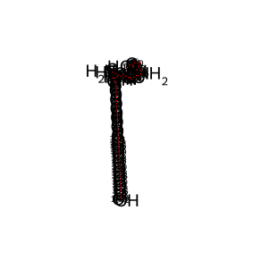 CCC(c1cccc(S(=O)(=O)N2CC(CO)C2)c1)c1ccc2c(c1)N=C(N)CC(C(=O)NCCCN(C)C(=O)OCc1ccc(NC(=O)[C@H](CCCNC(N)=O)NC(=O)[C@@H](NC(=O)CCOCCOCCOCCOCCOCCOCCOCCOCCOCCOCCOCCOCCOCCOCCOCCOCCOCCOCCOCCOCCOCCOCCOCCOCCOCCC(=O)O)C(C)C)cc1)=C2